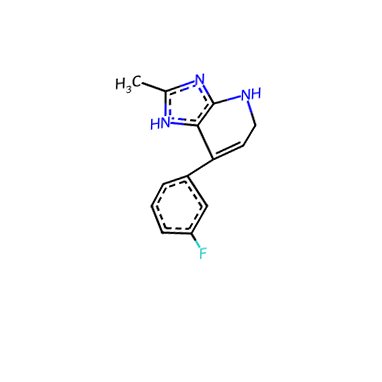 Cc1nc2c([nH]1)C(c1cccc(F)c1)=CCN2